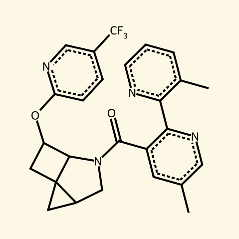 Cc1cnc(-c2ncccc2C)c(C(=O)N2CC3CC34CC(Oc3ccc(C(F)(F)F)cn3)C24)c1